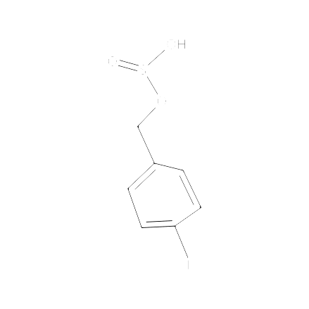 O=S(O)OCc1ccc(F)cc1